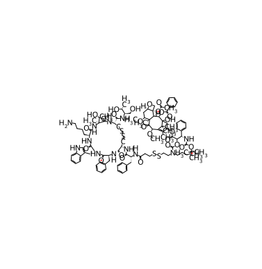 CCCCN(CCSSCCC(=O)N[C@H](Cc1ccccc1)C(=O)N[C@H]1CSSC[C@@H](C(=O)N[C@H](CO)[C@@H](C)O)NC(=O)[C@](C)([C@@H](C)O)NC(=O)[C@H](CCCCN)NC(=O)[C@@H](Cc2c[nH]c3ccccc23)NC(=O)[C@H](Cc2ccccc2)NC1=O)C(=O)OC(C(=O)OC1C[C@@]2(O)[C@@H](OC(=O)c3ccccc3)[C@@H]3[C@]4(OC(C)=O)CO[C@@H]4C[C@H](OC)[C@@]3(C)C(=O)[C@H](OC)C(=C1C)C2(C)C)[C@@H](NC(=O)OC(C)(C)C)c1ccccc1